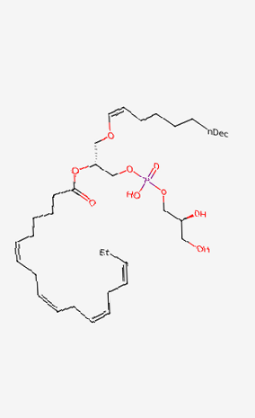 CC/C=C\C/C=C\C/C=C\C/C=C\CCCCC(=O)O[C@H](CO/C=C\CCCCCCCCCCCCCC)COP(=O)(O)OC[C@@H](O)CO